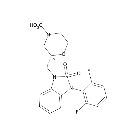 O=C(O)N1CCO[C@H](CN2c3ccccc3N(c3c(F)cccc3F)S2(=O)=O)C1